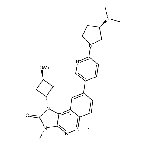 CO[C@H]1C[C@H](n2c(=O)n(C)c3nnc4ccc(-c5ccc(N6CC[C@@H](N(C)C)C6)nc5)cc4c32)C1